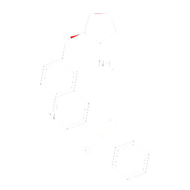 N[C@H]1COC[C@@H]1Oc1ccc2ncc(S(=O)(=O)c3ccccc3)cc2c1